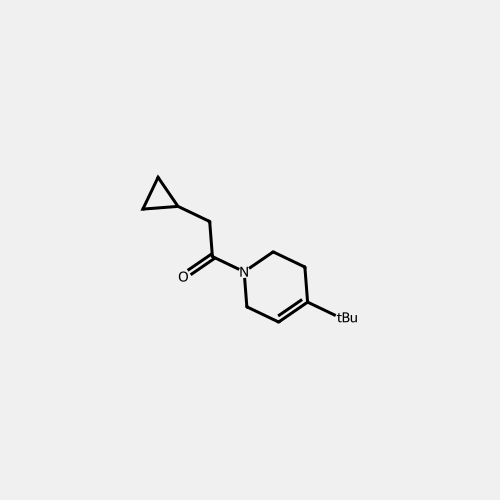 CC(C)(C)C1=CCN(C(=O)CC2CC2)CC1